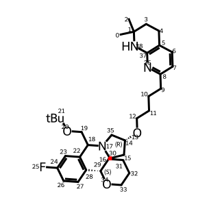 CC1(C)CCc2ccc(CCCCO[C@@H]3CCN(C(COC(C)(C)C)c4cc(F)ccc4[C@@H]4CCCCO4)C3)nc2N1